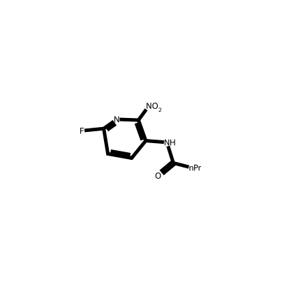 CCCC(=O)Nc1ccc(F)nc1[N+](=O)[O-]